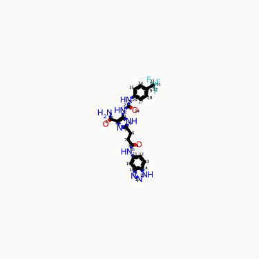 NC(=O)c1nc(CCC(=O)Nc2ccc3[nH]nnc3c2)[nH]c1NC(=O)Nc1ccc(C(F)(F)F)cc1